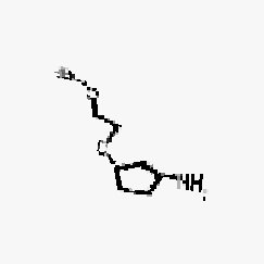 CC(C)(C)OCCO[C@@H]1CC[C@H](N)C1